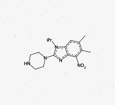 Cc1cc2c(nc(N3CCNCC3)n2C(C)C)c([N+](=O)[O-])c1C